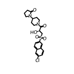 O=C([C@H](O)CS(=O)(=O)c1ccc2cc(Cl)ccc2c1)N1CCC(N2CCCC2=O)CC1